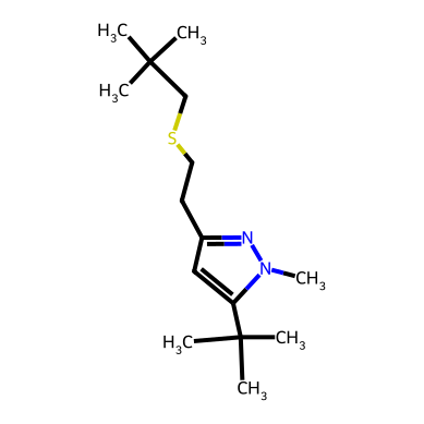 Cn1nc(CCSCC(C)(C)C)cc1C(C)(C)C